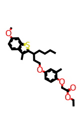 CCCCC(CCOc1ccc(OCC(=O)OCC)c(C)c1)c1sc2cc(OC)ccc2c1C